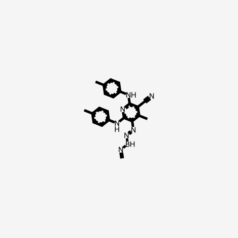 C=NBN=Nc1c(Nc2ccc(C)cc2)nc(Nc2ccc(C)cc2)c(C#N)c1C